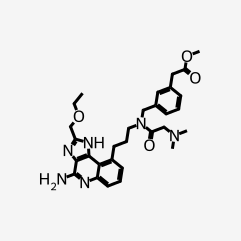 CCOCc1nc2c(N)nc3cccc(CCCN(Cc4cccc(CC(=O)OC)c4)C(=O)CN(C)C)c3c2[nH]1